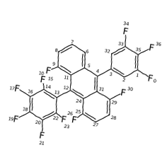 Fc1cc(-c2c3cccc(F)c3c(-c3c(F)c(F)c(F)c(F)c3F)c3c(F)ccc(F)c23)cc(F)c1F